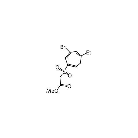 CCC1=CC(Br)=CC(S(=O)(=O)CC(=O)OC)=CC1